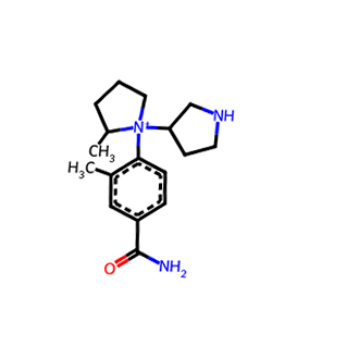 Cc1cc(C(N)=O)ccc1[N+]1(C2CCNC2)CCCC1C